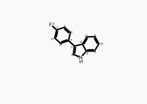 Fc1ccc(-c2[c][nH]c3ccccc23)cc1